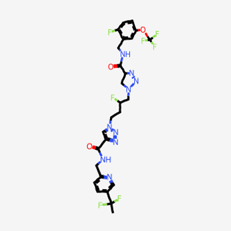 CC(F)(F)c1ccc(CNC(=O)c2cn(CCC(F)CN3CC(C(=O)NCc4cc(OC(F)(F)F)ccc4F)N=N3)nn2)nc1